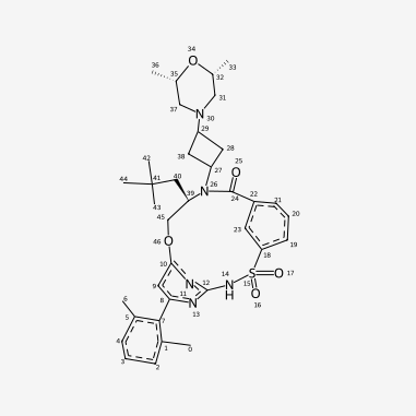 Cc1cccc(C)c1-c1cc2nc(n1)NS(=O)(=O)c1cccc(c1)C(=O)N(C1CC(N3C[C@@H](C)O[C@@H](C)C3)C1)[C@H](CC(C)(C)C)CO2